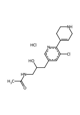 CC(=O)NCC(O)Cc1cnc(C2=CCNCC2)c(Cl)c1.Cl